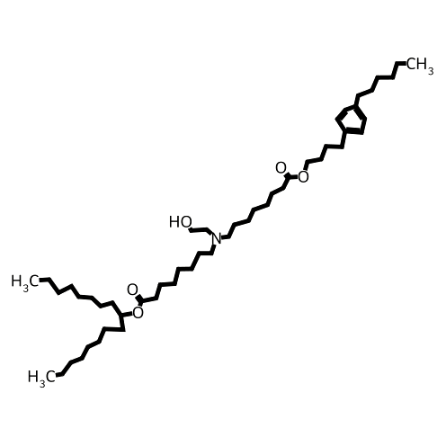 CCCCCCCCC(CCCCCCCC)OC(=O)CCCCCCCN(CCO)CCCCCCCC(=O)OCCCCc1ccc(CCCCCC)cc1